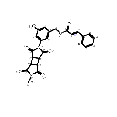 Cc1cc(COC(=O)/C=C/c2ccccc2)cc(N2C(=O)C3C4C(=O)N(C)C(=O)C4C3C2=O)c1